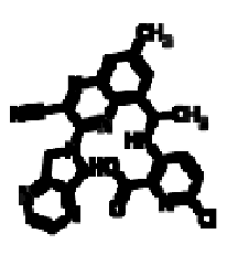 Cc1cc([C@@H](C)Nc2ccc(Cl)nc2C(=O)O)c2nc(N3Cc4nccnc4C3)c(C#N)nc2c1